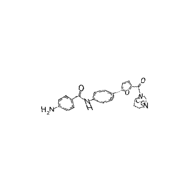 Nc1ccc(C(=O)Nc2ccc(-c3ccc(C(=O)N4CCN5CCC4CC5)o3)cc2)cc1